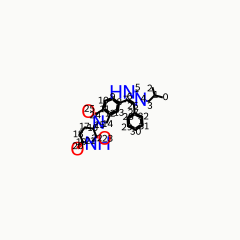 CC(C)CN1CNC(c2ccc3c(c2)CN(C2CCC(=O)NC2=O)C3=O)=C1c1ccccc1